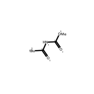 COC(=O)NC(=O)C(C)(C)C